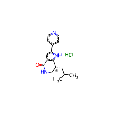 CC(C)C[C@@H]1CNC(=O)c2cc(-c3ccncc3)[nH]c21.Cl